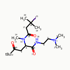 CN(C)CCNC(=O)C(CC(=O)C(C)(C)C)N(C)C(=O)CC(C)(C)I